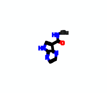 CC(C)(C)NC(=O)c1c[nH]c2nccnc12